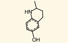 CC1CCc2cc(O)ccc2N1